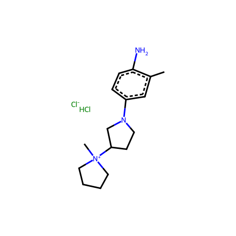 Cc1cc(N2CCC([N+]3(C)CCCC3)C2)ccc1N.Cl.[Cl-]